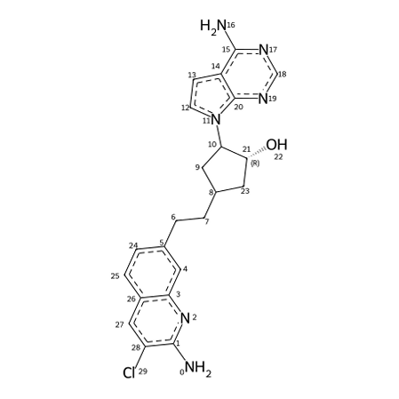 Nc1nc2cc(CCC3CC(n4ccc5c(N)ncnc54)[C@H](O)C3)ccc2cc1Cl